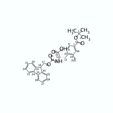 CC(C)(C)OC(=O)c1ccc(C[C@H](NC(=O)OCC2c3ccccc3-c3ccccc32)C(=O)O)c(I)c1